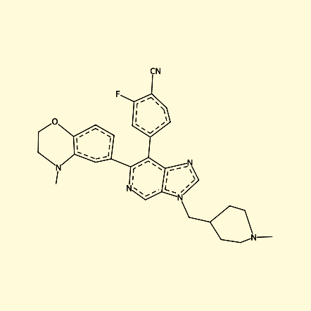 CN1CCC(Cn2cnc3c(-c4ccc(C#N)c(F)c4)c(-c4ccc5c(c4)N(C)CCO5)ncc32)CC1